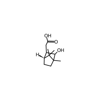 CC12CC[C@H](C(CC(=O)O)C1O)C2(C)C